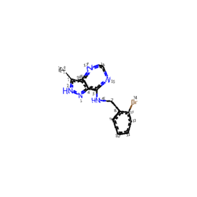 CC(C)c1[nH]nc2c(NCc3ccccc3Br)ncnc12